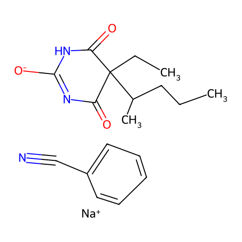 CCCC(C)C1(CC)C(=O)N=C([O-])NC1=O.N#Cc1ccccc1.[Na+]